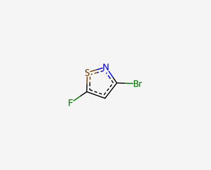 Fc1cc(Br)ns1